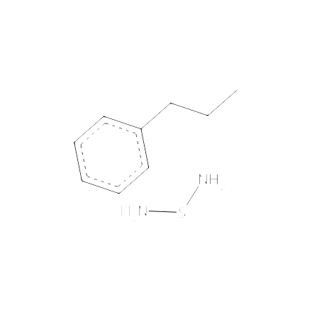 CCCc1ccccc1.NSN